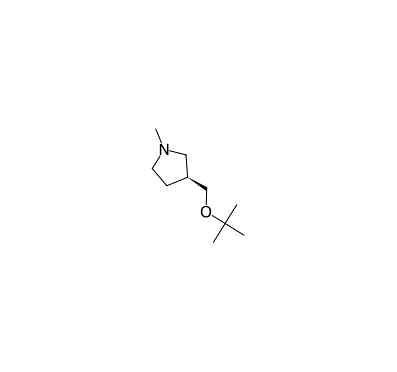 CN1CC[C@H](COC(C)(C)C)C1